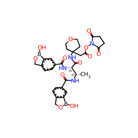 C[C@H](NC(=O)c1ccc2c(c1)B(O)OC2)[C@H](NC(=O)c1ccc2c(c1)B(O)OC2)C(=O)NC1(CC(=O)ON2C(=O)CCC2=O)CCOCC1